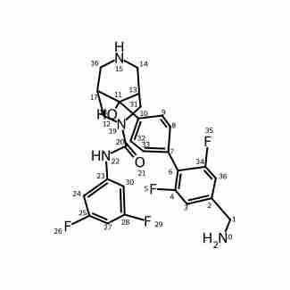 NCc1cc(F)c(-c2ccc(C3(O)C4CNCC3CN(C(=O)Nc3cc(F)cc(F)c3)C4)cc2)c(F)c1